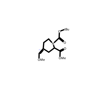 CO/C=C1/CCN(C(=O)OC(C)(C)C)C(C(=O)OC)C1